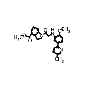 COC(=O)c1cccc2c1CCN2C(=O)CNc1cc(-c2ccc(C)cn2)ccc1OC